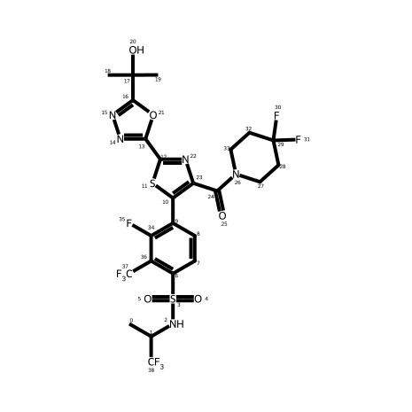 CC(NS(=O)(=O)c1ccc(-c2sc(-c3nnc(C(C)(C)O)o3)nc2C(=O)N2CCC(F)(F)CC2)c(F)c1C(F)(F)F)C(F)(F)F